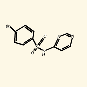 O=S(=O)(Nc1ccncn1)c1ccc(Br)cc1